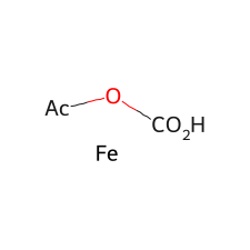 CC(=O)OC(=O)O.[Fe]